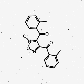 Cc1ccccc1C(=O)c1no[n+]([O-])c1C(=O)c1ccccc1C